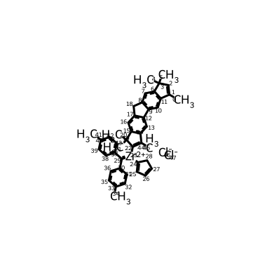 CC1=CC(C)(C)c2cc3c(cc21)-c1cc2c(cc1C3)C(C)(C)[C]([Zr+2]([C]1=CC=CC1)=[C](c1ccc(C)cc1)c1ccc(C)cc1)=C2C.[Cl-].[Cl-]